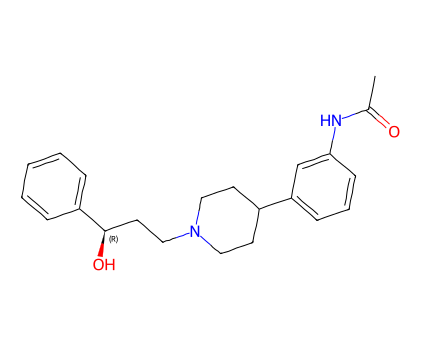 CC(=O)Nc1cccc(C2CCN(CC[C@@H](O)c3ccccc3)CC2)c1